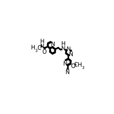 CNC(=O)c1ccnc2c(CCNc3cc(-c4cnc(C#N)c(OC)c4)ncn3)cccc12